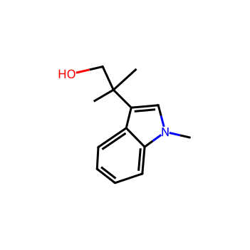 Cn1cc(C(C)(C)CO)c2ccccc21